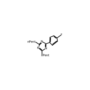 CCCCCc1nc(CCCCC)nc(-c2ccc(F)cc2)n1